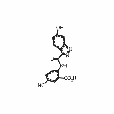 N#Cc1ccc(NC(=O)c2noc3cc(O)ccc23)c(C(=O)O)c1